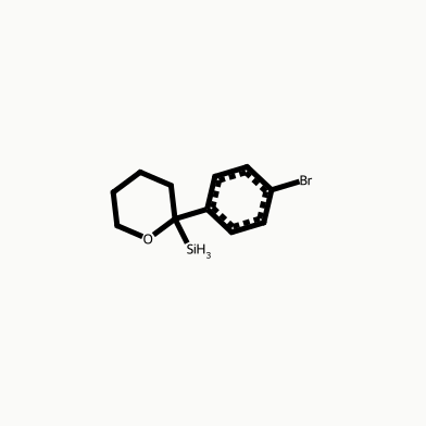 [SiH3]C1(c2ccc(Br)cc2)CCCCO1